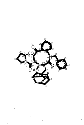 CC(=O)N1[C@H](CC23CC4CC(CC(C4)C2)C3)C(=O)N(Cc2ccccc2)c2ccccc2C(=O)C[C@H]1C(=O)N1CCC[C@H]1C(=O)O